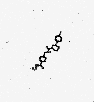 NNC(=O)c1ccc(CNC(=O)N2CCSC(c3ccc(F)cc3)C2)cc1